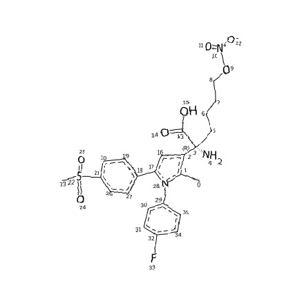 Cc1c([C@](N)(CCCCO[N+](=O)[O-])C(=O)O)cc(-c2ccc(S(C)(=O)=O)cc2)n1-c1ccc(F)cc1